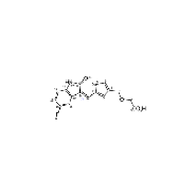 O=C(O)COCc1c[se]c(/C=C2\C(=O)Nc3ccc(F)cc32)c1